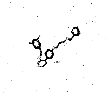 Cl.Fc1cc(F)cc(COC2CNCCC2c2ccc(OCCCOCc3ccccc3)cc2)c1